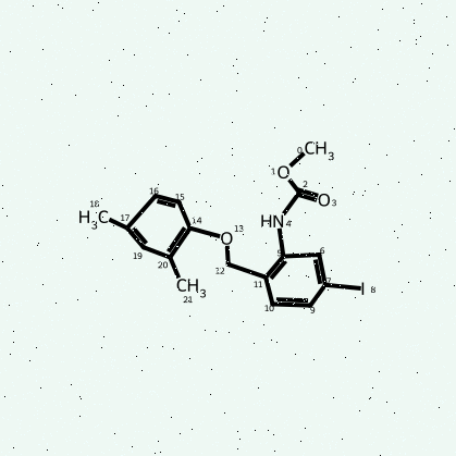 COC(=O)Nc1cc(I)ccc1COc1ccc(C)cc1C